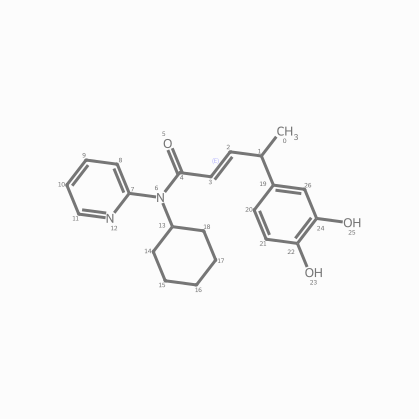 CC(/C=C/C(=O)N(c1ccccn1)C1CCCCC1)c1ccc(O)c(O)c1